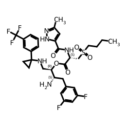 CCCCS(=O)(=O)C[C@@H](NC(=O)c1cc(C)n[nH]1)C(=O)O[C@H](CNC1(c2cccc(C(F)(F)F)c2)CC1)[C@@H](N)Cc1cc(F)cc(F)c1